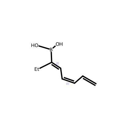 C=C/C=C\C=C(/CC)B(O)O